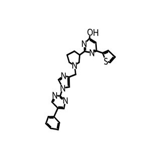 Oc1cc(-c2cccs2)nc(C2CCCN(Cc3cn(-c4ncc(-c5ccccc5)cn4)cn3)C2)n1